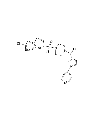 O=C(c1ccc(-c2ccncc2)s1)N1CCN(S(=O)(=O)c2ccc3cc(Cl)ccc3c2)CC1